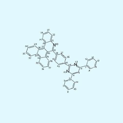 c1ccc(-c2cc(-c3ccccc3)nc(-c3ccc(-c4nc5ccccc5c5c6ccccc6c6ccccc6c45)cc3)n2)cc1